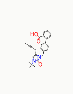 CC#CCc1cn(C(C)(C)C)c(=O)n1Cc1ccc(-c2ccccc2C(=O)O)cc1